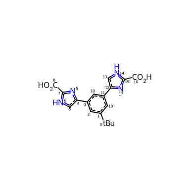 CC(C)(C)c1cc(-c2c[nH]c(C(=O)O)n2)cc(-c2c[nH]c(C(=O)O)n2)c1